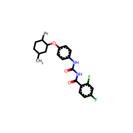 CC1CCC(C(C)C)C(Oc2ccc(NC(=O)NC(=O)c3ccc(F)cc3F)cc2)C1